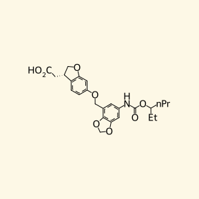 CCCC(CC)OC(=O)Nc1cc(COc2ccc3c(c2)OC[C@H]3CC(=O)O)c2c(c1)OCO2